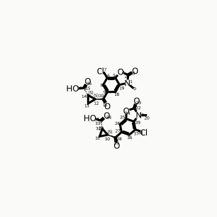 Cn1c(=O)oc2c(Cl)cc(C(=O)[C@H]3C[C@@H]3C(=O)O)cc21.Cn1c(=O)oc2cc(C(=O)[C@H]3C[C@@H]3C(=O)O)cc(Cl)c21